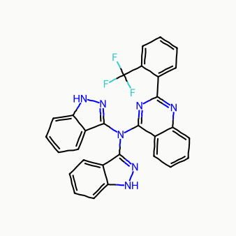 FC(F)(F)c1ccccc1-c1nc(N(c2n[nH]c3ccccc23)c2n[nH]c3ccccc23)c2ccccc2n1